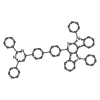 c1ccc(-c2cc(-c3ccc(-c4ccc(-c5nc6c(c7ccccc7n6-c6ccccc6)c6c5c5ccccc5n6-c5ccccc5)cc4)cc3)nc(-c3ccccc3)n2)cc1